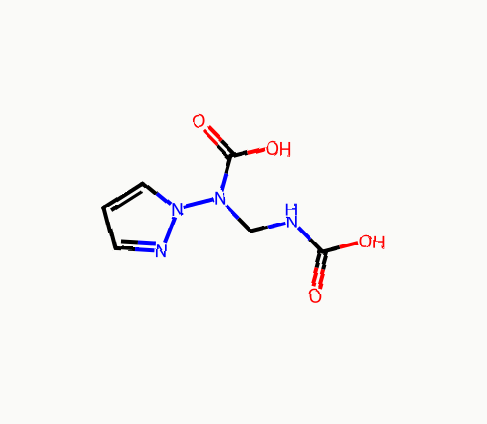 O=C(O)NCN(C(=O)O)n1cccn1